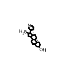 BC1=C(c2cccnc2)[C@@]2(C)CCC3C(CC=C4C[C@@H](O)CC[C@@]43C)C2C1